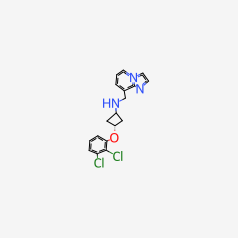 Clc1cccc(O[C@H]2C[C@H](NCc3cccn4ccnc34)C2)c1Cl